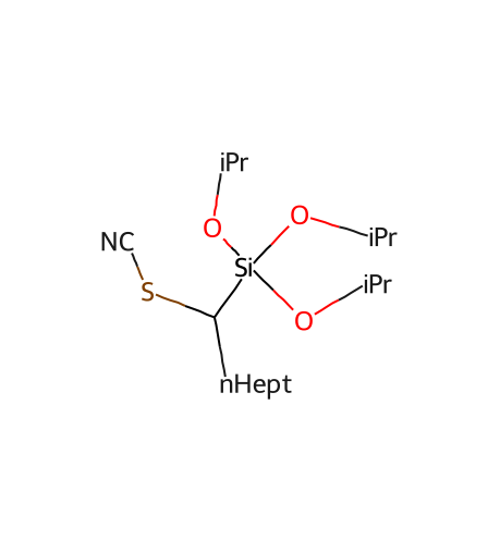 CCCCCCCC(SC#N)[Si](OC(C)C)(OC(C)C)OC(C)C